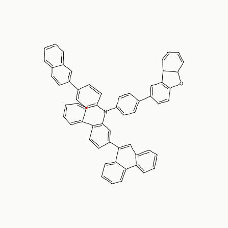 C1=CC2Oc3ccc(-c4ccc(N(c5ccc(-c6ccc7ccccc7c6)cc5)c5cc(-c6cc7ccccc7c7ccccc67)ccc5-c5ccccc5)cc4)cc3C2C=C1